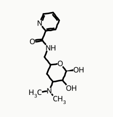 CN(C)C1CC(CNC(=O)c2ccccn2)O[C@@H](O)C1O